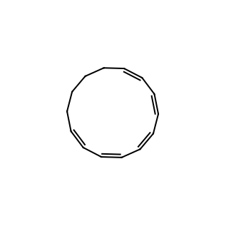 C1=CC=CC=CCCCCC=CC=C1